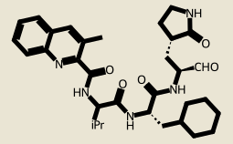 Cc1cc2ccccc2nc1C(=O)NC(C(=O)N[C@@H](CC1CCCCC1)C(=O)N[C@H](C=O)C[C@@H]1CCNC1=O)C(C)C